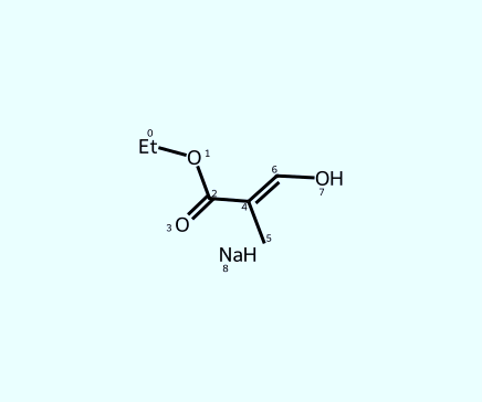 CCOC(=O)C(C)=CO.[NaH]